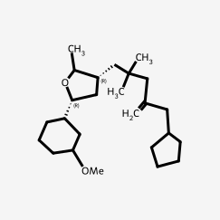 C=C(CC1CCCC1)CC(C)(C)C[C@@H]1C[C@H](C2CCCC(OC)C2)OC1C